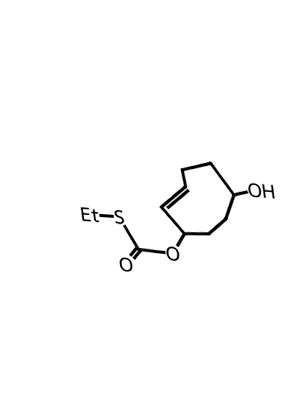 CCSC(=O)OC1/C=C/CCC(O)CC1